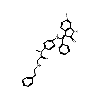 CN(C(=O)CNCCc1ccccc1)c1ccc(NC(=C2C(=O)Nc3cc(F)ccc32)c2ccccc2)cc1